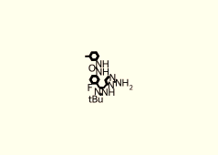 Cc1cccc(NC(=O)Nc2ccc(F)c(-c3nc(C(C)(C)C)[nH]c3-c3ccnc(N)n3)c2)c1